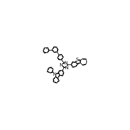 C1=Cc2sc3cc(-c4nc(-c5ccc(-c6cccc(-c7ccccc7)c6)cc5)nc(-c5ccc6c7ccccc7n(-c7ccccc7)c6c5)n4)ccc3c2C=CC1